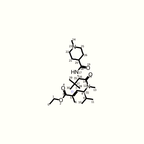 CCOC(=O)/C(C)=C/[C@H](C(C)C)N(C)C(=O)[C@@H](NC(=O)C1CCN(C)CC1)C(C)(C)C